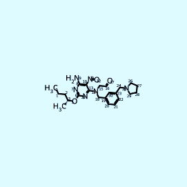 CCC[C@@H](C)Oc1nc(N)c(N=O)c(N(CC=O)Cc2cccc(CN3CCCC3)c2)n1